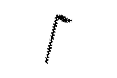 CC=CCCC=CCCC=CCCC=CCCC=CCCC=CCCC=CCCC=C(C)C(C)(C)C(C)(C)C(C)=C(C)C(C)(C)O